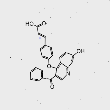 O=C(O)/C=C/c1ccc(Oc2c(C(=O)c3ccccc3)cnc3cc(O)ccc23)cc1